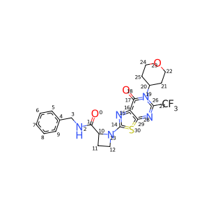 O=C(NCc1ccccc1)C1CCN1c1nc2c(=O)n(C3CCOCC3)c(C(F)(F)F)nc2s1